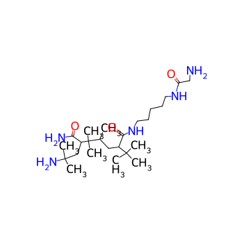 CC(CC(C(=O)NCCCCCNC(=O)CN)C(C)(C)C)C(C)(C)C(CC(C)(C)N)C(N)=O